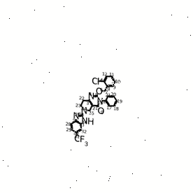 O=c1c2c(nc(OCc3ccccc3Cl)n1-c1ccccc1)CCN(c1nc3ccc(C(F)(F)F)cc3[nH]1)C2